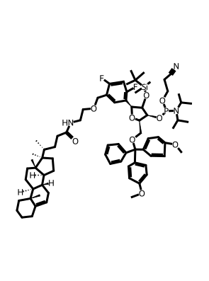 COc1ccc(C(OC[C@H]2O[C@@H](c3cc(COCCNC(=O)CC[C@@H](C)[C@@]4(C)CC[C@H]5[C@@H]6CC=C7CCCC[C@]7(C)[C@H]6CC[C@@]54C)c(F)cc3F)C(O[Si](C)(C)C(C)(C)C)[C@H]2OP(OCCC#N)N(C(C)C)C(C)C)(c2ccccc2)c2ccc(OC)cc2)cc1